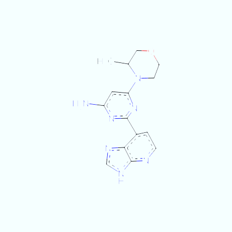 CC1COCCN1c1cc(N)nc(-c2ccnc3[nH]cnc23)n1